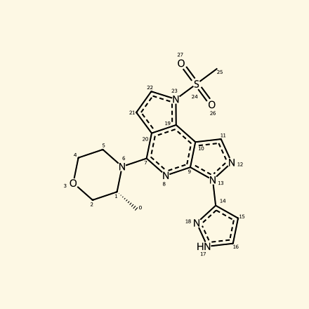 C[C@@H]1COCCN1c1nc2c(cnn2-c2cc[nH]n2)c2c1ccn2S(C)(=O)=O